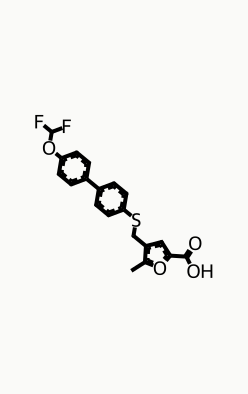 Cc1oc(C(=O)O)cc1CSc1ccc(-c2ccc(OC(F)F)cc2)cc1